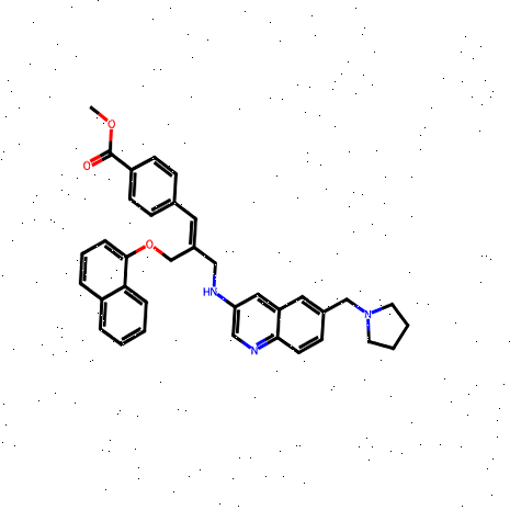 COC(=O)c1ccc(/C=C(/CNc2cnc3ccc(CN4CCCC4)cc3c2)COc2cccc3ccccc23)cc1